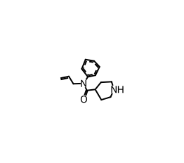 C=CCN(C(=O)C1CCNCC1)c1ccccc1